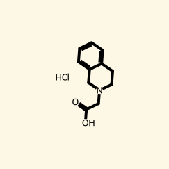 Cl.O=C(O)CN1CCc2ccccc2C1